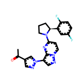 CC(=O)c1cnn(-c2cnn3ccc(N4CCC[C@H]4c4cc(F)ccc4F)nc23)c1